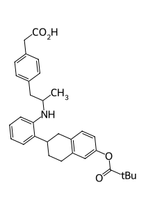 CC(Cc1ccc(CC(=O)O)cc1)Nc1ccccc1C1CCc2cc(OC(=O)C(C)(C)C)ccc2C1